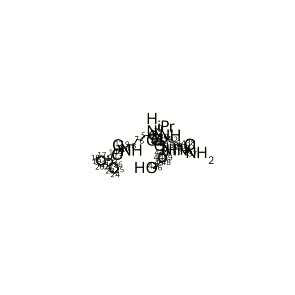 CC(C)[C@H](NC(=O)CCCCCNC(=O)OCC1c2ccccc2-c2ccccc21)C(=O)N[C@@H](CCCNC(N)=O)C(=O)Nc1ccc(CO)cc1